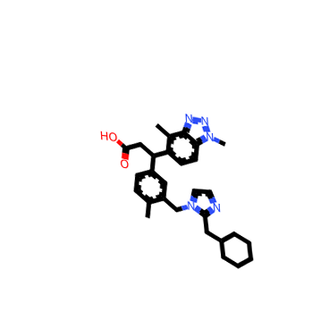 Cc1ccc(C(CC(=O)O)c2ccc3c(nnn3C)c2C)cc1Cn1ccnc1CC1CCCCC1